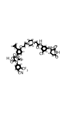 CC1(C)C(=O)N(c2ccc(C#N)c(C(F)(F)F)c2)C(=S)N1c1ccc(OCCN2CCN(CC(=O)Nc3cc(Cl)cc(NC4CCC(=O)NC4=O)c3)CC2)c(C2CC2)c1